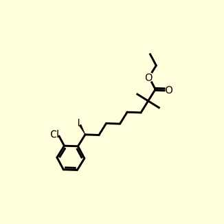 CCOC(=O)C(C)(C)CCCCC[C@H](I)c1ccccc1Cl